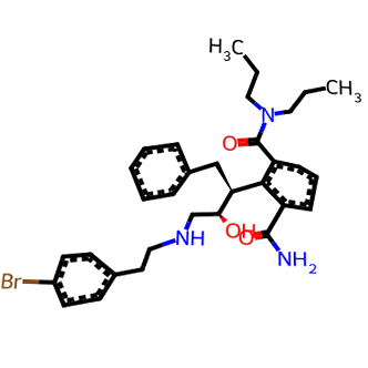 CCCN(CCC)C(=O)c1cccc(C(N)=O)c1[C@H](Cc1ccccc1)[C@@H](O)CNCCc1ccc(Br)cc1